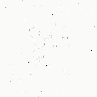 CCOC(=O)N1CCC2(CC1)C[C@H](N[S+]([O-])C(C)(C)C)c1ccccc1O2